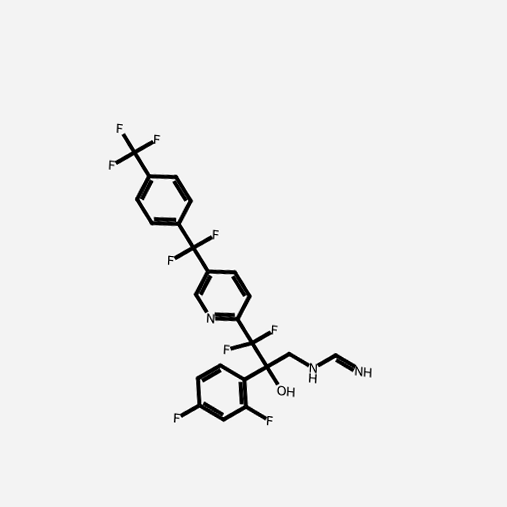 N=CNCC(O)(c1ccc(F)cc1F)C(F)(F)c1ccc(C(F)(F)c2ccc(C(F)(F)F)cc2)cn1